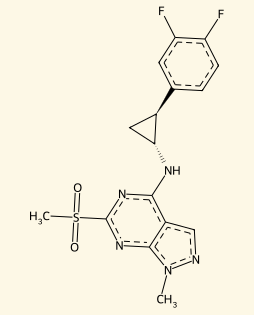 Cn1ncc2c(N[C@@H]3C[C@H]3c3ccc(F)c(F)c3)nc(S(C)(=O)=O)nc21